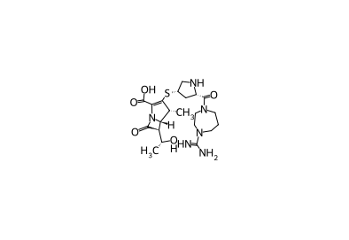 C[C@@H](O)[C@H]1C(=O)N2C(C(=O)O)=C(S[C@@H]3CN[C@H](C(=O)N4CCCN(C(=N)N)CC4)C3)[C@H](C)[C@H]12